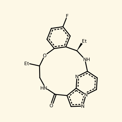 CCC1CNC(=O)c2cnn3ccc(nc23)N[C@H](CC)c2cc(F)ccc2O1